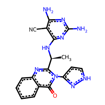 C[C@H](Nc1nc(N)nc(N)c1C#N)c1nc2ccccc2c(=O)n1-c1cc[nH]n1